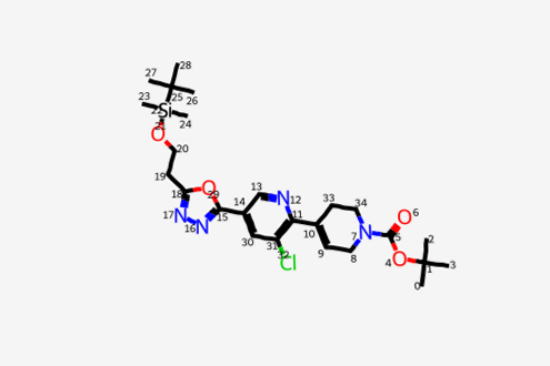 CC(C)(C)OC(=O)N1CC=C(c2ncc(-c3nnc(CCO[Si](C)(C)C(C)(C)C)o3)cc2Cl)CC1